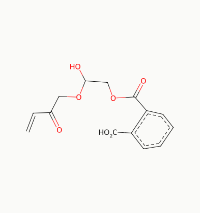 C=CC(=O)COC(O)COC(=O)c1ccccc1C(=O)O